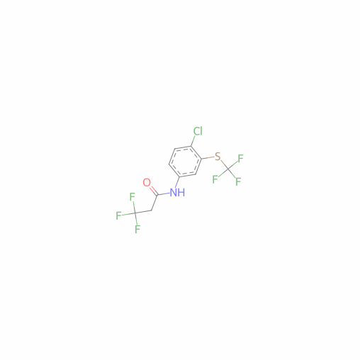 O=C(CC(F)(F)F)Nc1ccc(Cl)c(SC(F)(F)F)c1